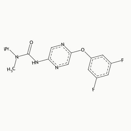 CC(C)N(C)C(=O)Nc1cnc(Oc2cc(F)cc(F)c2)cn1